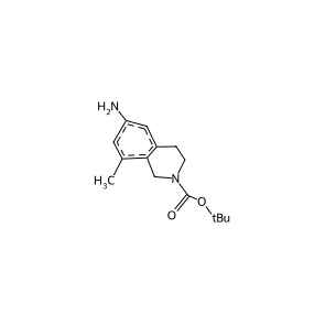 Cc1cc(N)cc2c1CN(C(=O)OC(C)(C)C)CC2